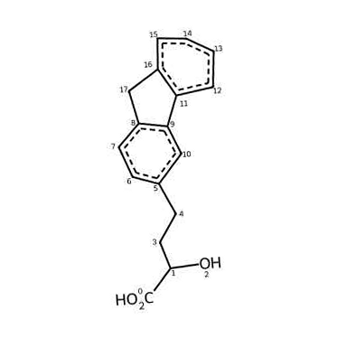 O=C(O)C(O)CCc1ccc2c(c1)-c1ccccc1C2